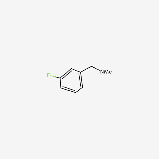 [CH]NCc1cccc(F)c1